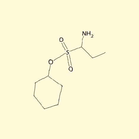 CCC(N)S(=O)(=O)OC1CCCCC1